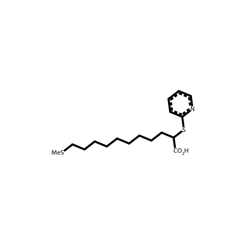 CSCCCCCCCCCC(Sc1ccccn1)C(=O)O